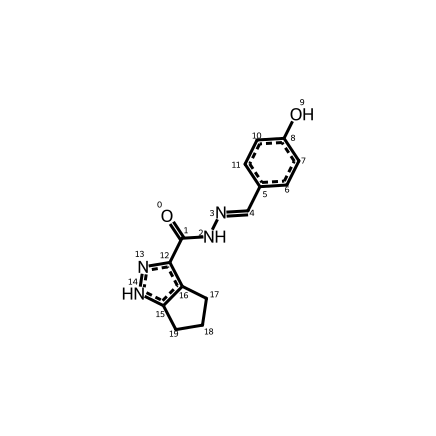 O=C(NN=Cc1ccc(O)cc1)c1n[nH]c2c1CCC2